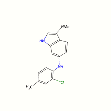 CNc1c[nH]c2cc(Nc3ccc(C)cc3Cl)ccc12